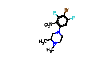 C[C@H]1CN(c2cc(F)c(Br)c(F)c2[N+](=O)[O-])CCN1C